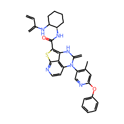 C=CC(=C)NC1CCCC[C@H]1NC(=O)c1sc2nccc3c2c1[nH]c(=C)n3-c1cnc(Oc2ccccc2)cc1C